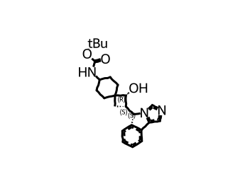 CC(C)(C)OC(=O)NC1CCC2(CC1)C[C@@H]([C@H]1c3ccccc3-c3cncn31)[C@H]2O